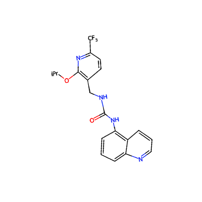 CC(C)Oc1nc(C(F)(F)F)ccc1CNC(=O)Nc1cccc2ncccc12